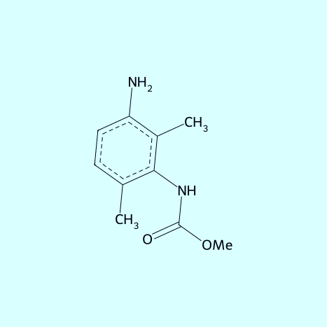 COC(=O)Nc1c(C)ccc(N)c1C